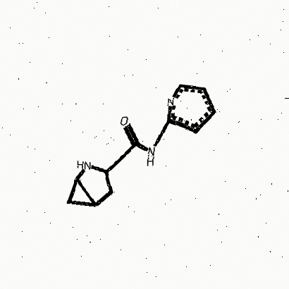 O=C(Nc1ccccn1)C1CC2CC2N1